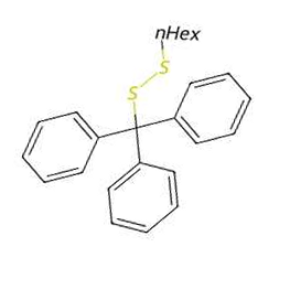 CCCCCCSSC(c1ccccc1)(c1ccccc1)c1ccccc1